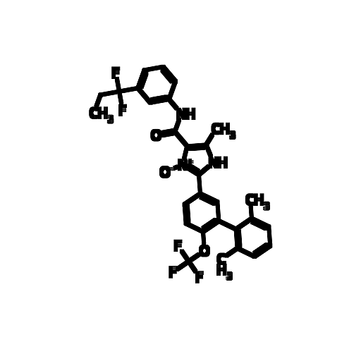 CCC(F)(F)c1cccc(NC(=O)c2c(C)[nH]c(-c3ccc(OC(F)(F)F)c(-c4c(C)cccc4C)c3)[n+]2[O-])c1